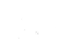 CC(C)(C)c1ccc2ccsc2n1